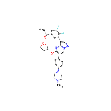 CNC(=O)c1cc(F)c(F)c(-c2cnn3cc(-c4ccc(N5CCN(C)CC5)cc4)c(OC4CCOC4)nc23)c1